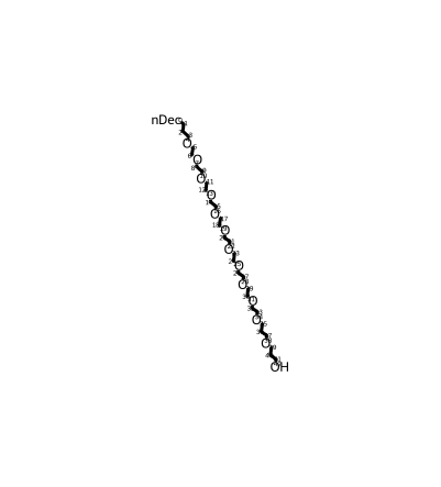 CCCCCCCCCCCCCOCCOCCOCCOCCOCCOCCOCCOCCOCCOCCOCCCOCCCO